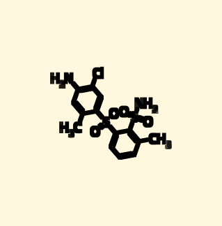 Cc1cc(N)c(Cl)cc1S(=O)(=O)c1cccc(C)c1S(N)(=O)=O